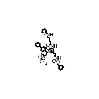 O=C(CCCCNc1ccccn1)N[C@@H](CCCCNC(=O)OCc1ccccc1)C(=O)NC(CC(=O)OC(=O)C(F)(F)F)c1ccc(-c2ccccc2)cc1